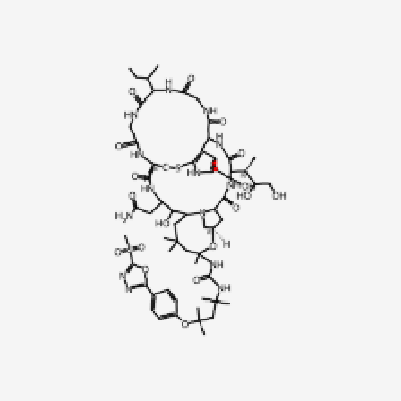 CCC(C)C1NC(=O)CNC(=O)C2NC(=O)C([C@@H](C)C(O)CO)NC(=O)C3C[C@@H]4CN3C(CC(C)(C)CC(C)(NC(=O)NC(C)(C)CC(C)(C)Oc3ccc(-c5nnc(S(C)(=O)=O)o5)cc3)O4)C(O)C(CC(N)=O)NC(=O)[C@@H](CSc3[nH]c4cc(O)ccc4c32)NC(=O)CNC1=O